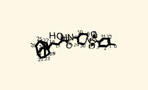 Cc1ccc(S(=O)(=O)N2CCC(NC(=O)C(O)CCC34CC5CC(CC(C5)C3)C4)CC2)cc1